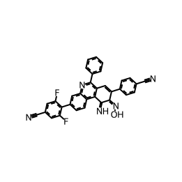 N#Cc1ccc(C2=Cc3c(-c4ccccc4)nc4cc(-c5c(F)cc(C#N)cc5F)ccc4c3C(=N)/C2=N\O)cc1